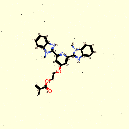 C=C(C)C(=O)OCCOc1cc(-c2nc3ccccc3n2C)nc(-c2nc3ccccc3n2C)c1